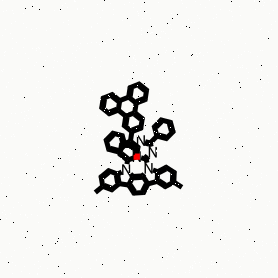 Cc1ccc2c(c1)c1ccc3c4cc(C)ccc4n(-c4nc(-c5ccccc5)nc(-c5ccccc5)n4)c3c1n2-c1ccc(-c2ccc3c4ccccc4c4ccccc4c3c2)cc1